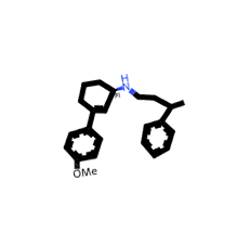 COc1ccc(C2=C[C@H](NCCC(C)c3ccccc3)CCC2)cc1